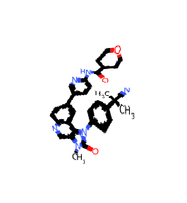 Cn1c(=O)n(-c2ccc(C(C)(C)C#N)cc2)c2c3cc(-c4ccc(NC(=O)C5CCOCC5)nc4)ccc3ncc21